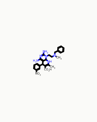 CC1=C(C(=O)O)C(c2cccc([N+](=O)[O-])c2)C2=C(N)N=C(N)N(CCN(C)Cc3ccccc3)C2N1